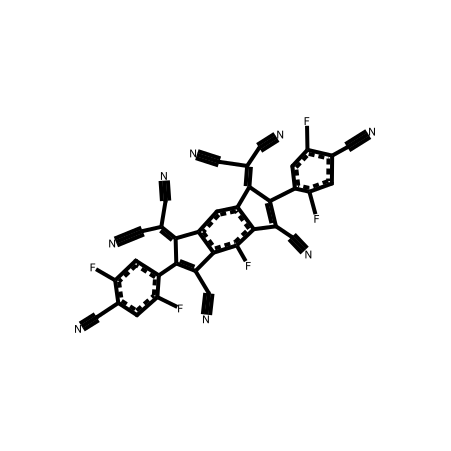 N#CC(C#N)=C1C(c2cc(F)c(C#N)cc2F)=C(C#N)c2c1cc1c(c2F)C(C#N)=C(c2cc(F)c(C#N)cc2F)C1=C(C#N)C#N